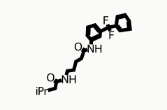 CC(C)CC(=O)NCCCCC(=O)Nc1cccc(C(F)(F)c2ccccc2)c1